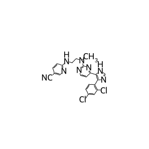 CN(CCNc1ccc(C#N)cn1)c1nccc(-c2[nH]cnc2-c2ccc(Cl)cc2Cl)n1